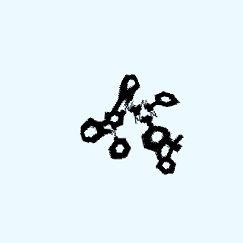 CC1(C)c2ccccc2-c2ccc(-c3nc(-c4ccccc4)nc(-n4c5ccccc5c5cc6c7ccccc7n(-c7ccccc7)c6cc54)n3)cc21